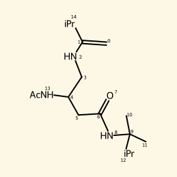 C=C(NCC(CC(=O)NC(C)(C)C(C)C)NC(C)=O)C(C)C